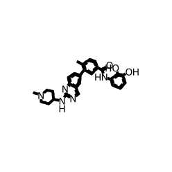 Cc1ccc(C(=O)Nc2cccc(O)c2O)cc1-c1ccc2nc(NC3CCN(C)CC3)ncc2c1